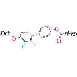 CCCCCCCCOc1ccc(-c2ccc(OC(=O)CCCCCC)cc2)c(F)c1F